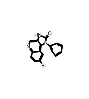 O=c1[nH]c2cnc3ccc(Br)cc3c2n1-c1ccccc1